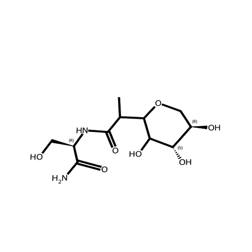 CC(C(=O)N[C@H](CO)C(N)=O)C1OC[C@@H](O)[C@H](O)C1O